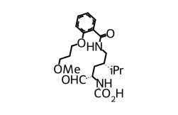 COCCCOc1ccccc1C(=O)NC[C@@H](C[C@@H](C=O)NC(=O)O)C(C)C